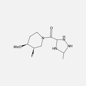 CO[C@H]1CCN(C(=O)C2NNC(C)N2)C[C@H]1F